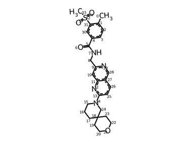 Cc1ccc(C(=O)NCc2cc3nc(N4CCCC5(CCOCC5)C4)ccc3cn2)cc1S(C)(=O)=O